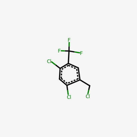 FC(F)(F)c1cc(CCl)c(Cl)cc1Cl